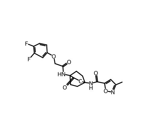 Cc1cc(C(=O)NC23CCC(NC(=O)COc4ccc(F)c(F)c4)(CC2)C(=O)C3)on1